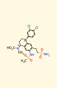 CN(C(=O)O)[C@H]1CC[C@@H](c2ccc(Cl)c(Cl)c2)c2cc(CCS(N)(=O)=O)c(NS(C)(=O)=O)cc21